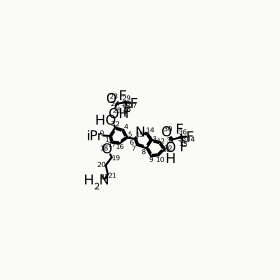 CC(C)c1c(O)cc(-c2cc3ccccc3cn2)cc1OCCCN.O=C(O)C(F)(F)F.O=C(O)C(F)(F)F